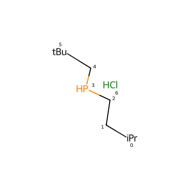 CC(C)CCPCC(C)(C)C.Cl